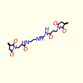 C=C1CC(=O)N(CCC(=O)NCCNCCNC(=O)CCN2C(=O)CC(=C)C2=O)C1=O